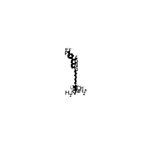 CC(N)(CN)C(=O)SCCCCCCCOc1ccc2cc(-c3ccc(C(F)(F)F)cc3)c(=S)oc2n1